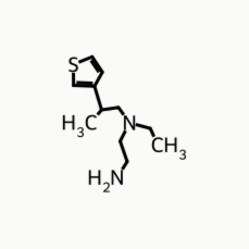 CCN(CCN)CC(C)c1ccsc1